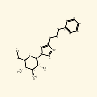 OC[C@H]1O[C@@H](n2cc(CCCc3ccccc3)nn2)[C@H](O)[C@@H](O)[C@@H]1O